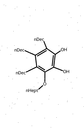 CCCCCCCCCCc1c(O)c(O)c(OCCCCCCC)c(CCCCCCCCCC)c1CCCCCCCCCC